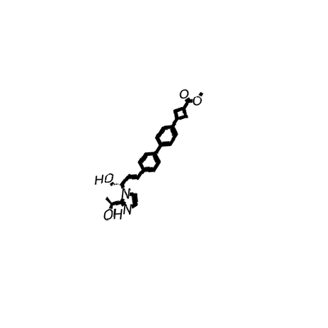 COC(=O)C1CC(c2ccc(-c3ccc(/C=C/[C@@H](CO)n4ccnc4[C@H](C)O)cc3)cc2)C1